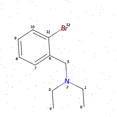 CCN(CC)Cc1ccccc1Br